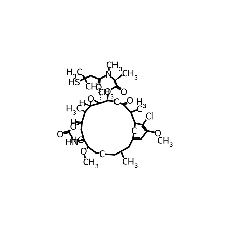 COC1=C(Cl)C2CC(=C1)CC(C)CCC[C@@H](OC)[C@@]1(O)C[C@H](OC(=O)N1)[C@@H](C)[C@@H]1O[C@@]1(C)[C@@H](OC(=O)[C@H](C)N(C)C(=O)CC(C)(C)S)CC(=O)C2C